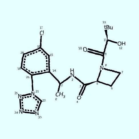 CC(NC(=O)[C@@H]1CCN1C(=O)[C@H](O)C(C)(C)C)c1cc(Cl)ccc1-n1cnnn1